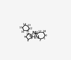 C1CCNC(=N[C@@H]2CCC[C@@H]2C2CCCCC2)CC1